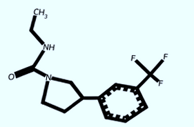 CCNC(=O)N1CCC(c2cccc(C(F)(F)F)c2)C1